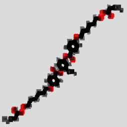 C=CC(=O)OOCCCCCCOc1ccc(C(=O)Oc2ccc(OC(=O)c3ccc(OCCCCCCOOC(=O)C=C)cc3)c(C)c2)cc1